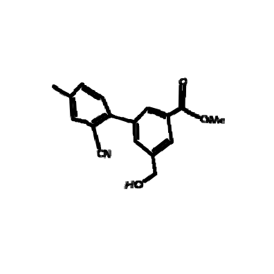 COC(=O)c1cc(CO)cc(-c2ccc(C)cc2C#N)c1